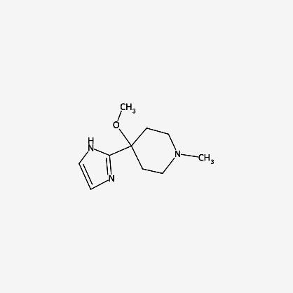 COC1(c2ncc[nH]2)CCN(C)CC1